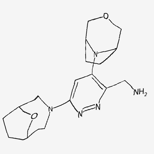 NCc1nnc(N2CC3CCC(C2)O3)cc1N1C2CCC1COC2